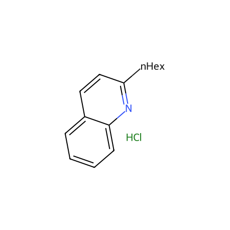 CCCCCCc1ccc2ccccc2n1.Cl